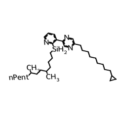 CCCCCC(C)CCC(C)CCCC[SiH2]c1ncccc1-c1cnc(CCCCCCCCCC2CC2)cn1